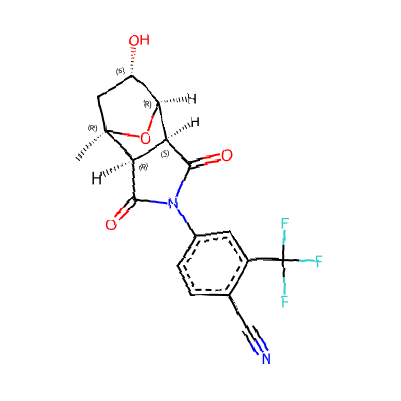 C[C@]12C[C@H](O)[C@H](O1)[C@H]1C(=O)N(c3ccc(C#N)c(C(F)(F)F)c3)C(=O)[C@H]12